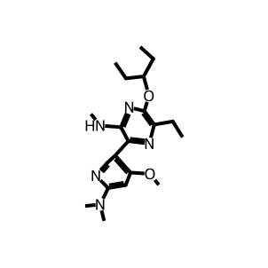 CCc1nc(-c2cnc(N(C)C)cc2OC)c(NC)nc1OC(CC)CC